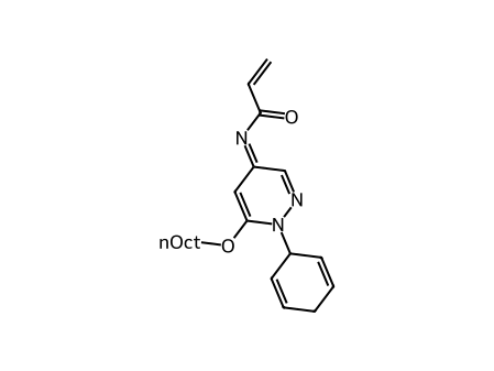 C=CC(=O)N=c1cnn(C2C=CCC=C2)c(OCCCCCCCC)c1